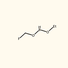 CCOBOCF